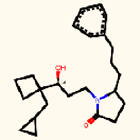 O=C1CCC(CCCc2ccccc2)N1CC[C@H](O)C1(CC2CC2)CCC1